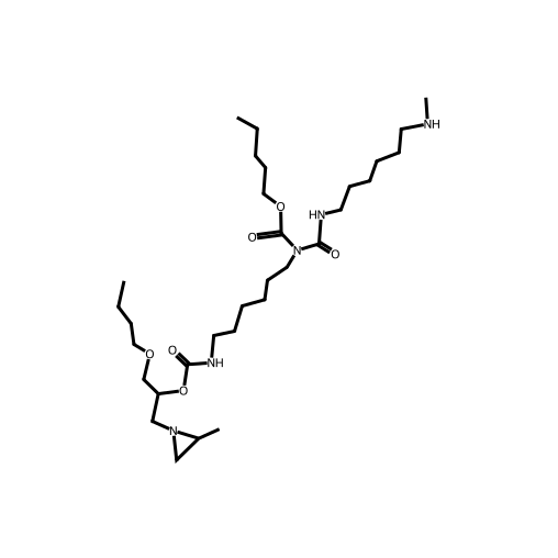 CCCCCOC(=O)N(CCCCCCNC(=O)OC(COCCCC)CN1CC1C)C(=O)NCCCCCCNC